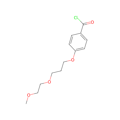 COCCOCCCOc1ccc(C(=O)Cl)cc1